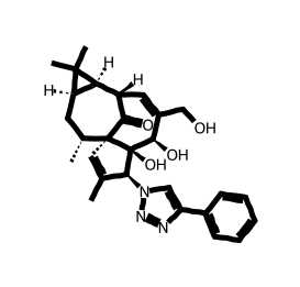 CC1=C[C@]23C(=O)[C@@H](C=C(CO)[C@@H](O)[C@]2(O)[C@H]1n1cc(-c2ccccc2)nn1)[C@H]1[C@@H](C[C@H]3C)C1(C)C